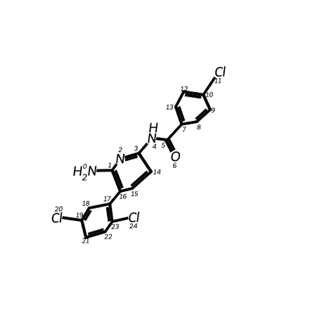 Nc1nc(NC(=O)c2ccc(Cl)cc2)ccc1-c1cc(Cl)ccc1Cl